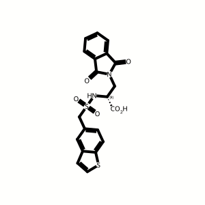 O=C(O)[C@@H](CN1C(=O)c2ccccc2C1=O)NS(=O)(=O)Cc1ccc2sccc2c1